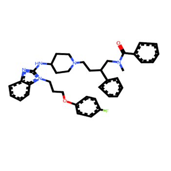 CN(CC(CCN1CCC(Nc2nc3ccccc3n2CCCOc2ccc(F)cc2)CC1)c1ccccc1)C(=O)c1ccccc1